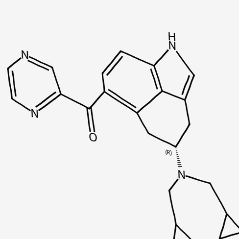 O=C(c1cnccn1)c1ccc2[nH]cc3c2c1C[C@@H](N(CC1CC1)CC1CC1)C3